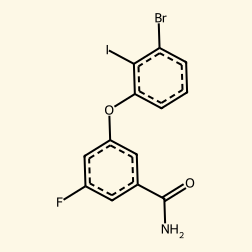 NC(=O)c1cc(F)cc(Oc2cccc(Br)c2I)c1